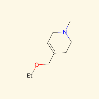 CCOCC1=CCN(C)CC1